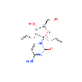 C=CC[C@@H]1[C@H](O)[C@@H](CO)O[C@@]1(CC=C)n1ccc(N)nc1=O